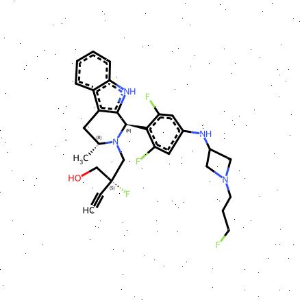 C#C[C@@](F)(CO)CN1[C@H](c2c(F)cc(NC3CN(CCCF)C3)cc2F)c2[nH]c3ccccc3c2C[C@H]1C